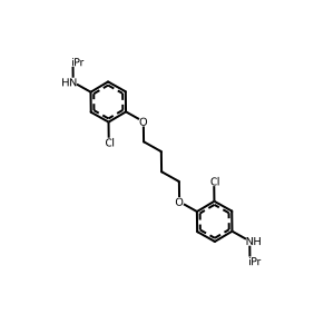 CC(C)Nc1ccc(OCCCCOc2ccc(NC(C)C)cc2Cl)c(Cl)c1